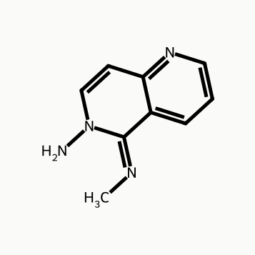 C/N=c1/c2cccnc2ccn1N